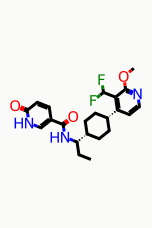 CCC(NC(=O)c1ccc(=O)[nH]c1)[C@H]1CC[C@@H](c2ccnc(OC)c2C(F)F)CC1